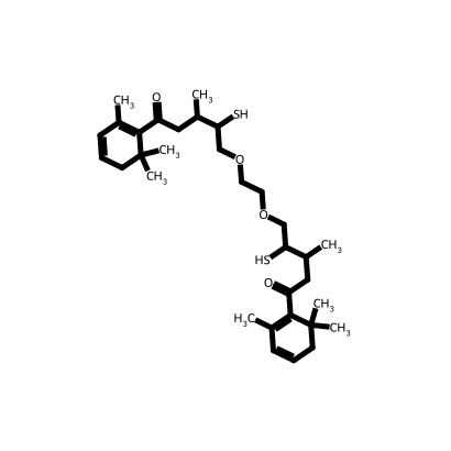 CC1=C(C(=O)CC(C)C(S)COCCOCC(S)C(C)CC(=O)C2=C(C)C=CCC2(C)C)C(C)(C)CC=C1